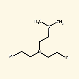 CC(C)CCN(CCC(C)C)CCN(C)C